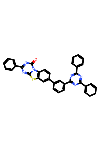 O=c1nc(-c2ccccc2)nc2sc3cc(-c4cccc(-c5nc(C6=CCCC=C6)nc(-c6ccccc6)n5)c4)ccc3n12